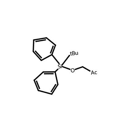 CC(=O)CO[Si](c1ccccc1)(c1ccccc1)C(C)(C)C